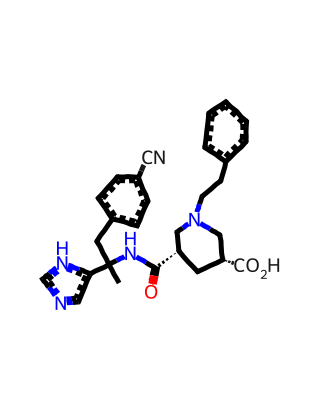 CC(Cc1ccc(C#N)cc1)(NC(=O)[C@H]1C[C@@H](C(=O)O)CN(CCc2ccccc2)C1)c1cnc[nH]1